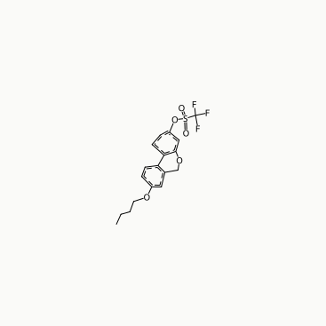 CCCCOc1ccc2c(c1)COc1cc(OS(=O)(=O)C(F)(F)F)ccc1-2